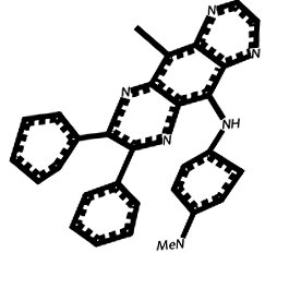 CNc1ccc(Nc2c3nccnc3c(C)c3nc(-c4ccccc4)c(-c4ccccc4)nc23)cc1